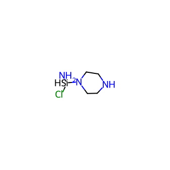 N[SiH](Cl)N1CCNCC1